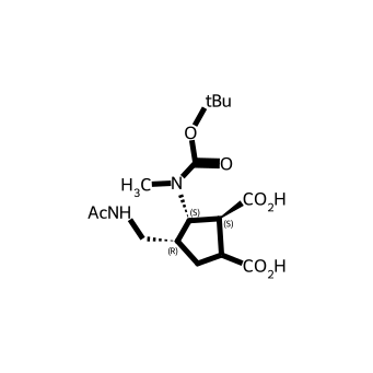 CC(=O)NC[C@H]1CC(C(=O)O)[C@H](C(=O)O)[C@H]1N(C)C(=O)OC(C)(C)C